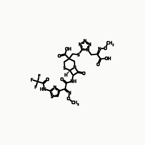 CON=C(Cn1nnnc1SCC1(C(=O)O)CS[C@@H]2C(NC(=O)C(=NOC)c3csc(NC(=O)C(F)(F)F)n3)C(=O)N2C1)C(=O)O